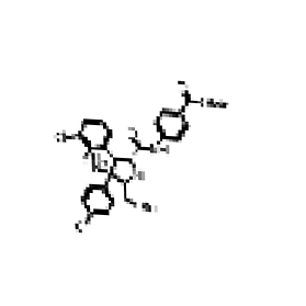 COC(=O)c1ccc(NC(=O)[C@@H]2N[C@@H](CC(C)(C)C)[C@](N)(c3ccc(Cl)cc3)[C@H]2c2cccc(Cl)c2F)cc1